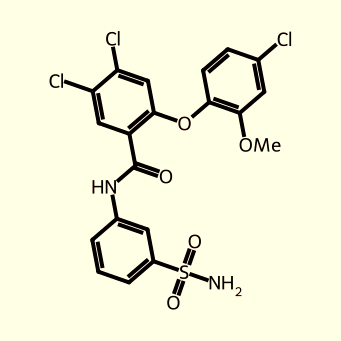 COc1cc(Cl)ccc1Oc1cc(Cl)c(Cl)cc1C(=O)Nc1cccc(S(N)(=O)=O)c1